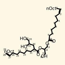 CCCCCCCC/C=C\CCCCCCCC(=O)OCC(CO)OC(=O)C(CCCCCC/C=C\CCCCCCCC)CC(O)CO